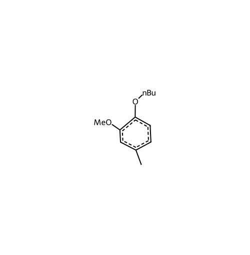 CCCCOc1ccc(C)cc1OC